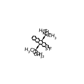 CCC(C#Cc1c2cc3ccccc3cc2c(C#CC(CC)(CC)OC)c2cc3sc(F)cc3cc12)(CC)OC